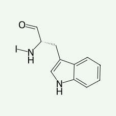 O=C[C@H](Cc1c[nH]c2ccccc12)NI